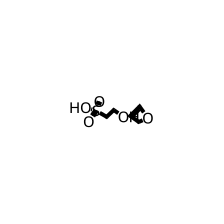 C1=COC1.O=S(=O)(O)CCO